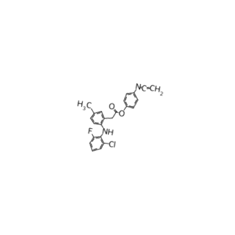 C=C=Nc1ccc(OC(=O)Cc2cc(C)ccc2Nc2c(F)cccc2Cl)cc1